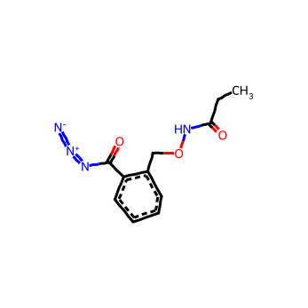 CCC(=O)NOCc1ccccc1C(=O)N=[N+]=[N-]